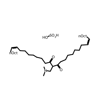 CCCCCCCC/C=C\CCCCCCCC(=O)C(CN(C)C)C(=O)CCCCCCC/C=C\CCCCCCCC.O=S(=O)(O)O